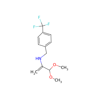 C=C(NCc1ccc(C(F)(F)F)cc1)C(OC)OC